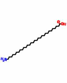 NCCCCCCCCCCCCCCCCCCCCCCCCCCCCCC(=O)O